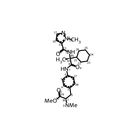 CN[C@H](Cc1ccc(NC(=O)[C@](C)(NC(=O)c2ccnn2C)C2CCCCC2)cc1)C(=O)OC